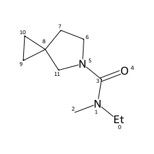 CCN(C)C(=O)N1CCC2(CC2)C1